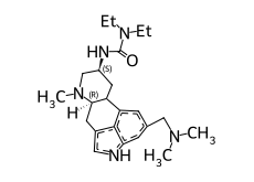 CCN(CC)C(=O)N[C@H]1CC2c3cc(CN(C)C)cc4[nH]cc(c34)C[C@H]2N(C)C1